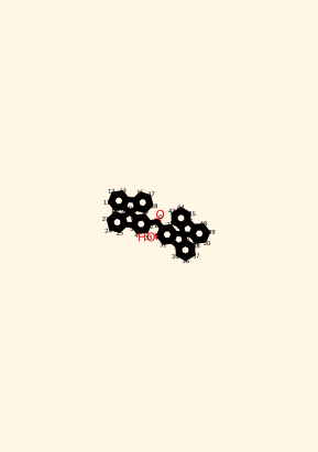 O=C(c1ccc2c(c1)C1(c3ccccc3-c3ccccc31)c1ccccc1-2)c1cc2c(cc1O)-c1ccccc1C21c2ccccc2-c2ccccc21